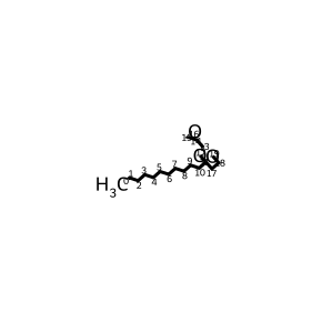 CCCCCCCCCCCC1(OCC2CO2)CCO1